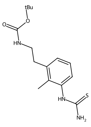 Cc1c(CCNC(=O)OC(C)(C)C)cccc1NC(N)=S